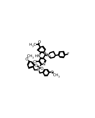 COc1ccc(CN(Cc2ccc(OC)cc2)S(=O)(=O)c2ncc(C(=O)N3CCC(c4ccc(F)cc4)CC3)c(Nc3cc(C(C)=O)ccc3C)c2Cl)cc1